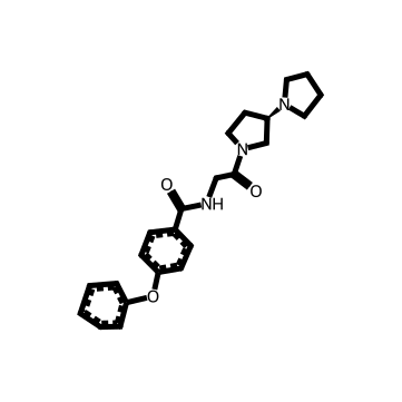 O=C(NCC(=O)N1CC[C@@H](N2CCCC2)C1)c1ccc(Oc2ccccc2)cc1